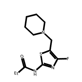 CCC(=O)Nc1nc(F)c(CN2CCCCC2)s1